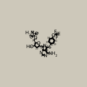 Nc1ncnc2c1c(Sc1ccc(OC(F)(F)F)cc1)nn2[C@H]1C[C@H](O)[C@@H](COS(N)(=O)=O)O1